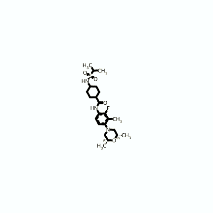 Cc1c(N2C[C@@H](C)O[C@@H](C)C2)ccc(NC(=O)C2CCC(NS(=O)(=O)C(C)C)CC2)c1F